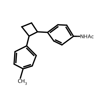 CC(=O)Nc1ccc(C2CCC2c2ccc(C)cc2)cc1